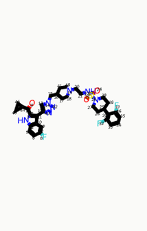 O=C(c1[nH]c2ccc(F)cc2c1-c1cn(CC2CCN(CCNS(=O)(=O)N3CCC(c4c(F)cccc4F)CC3)CC2)nn1)C1CC1